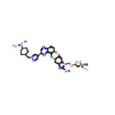 Cc1nc2ccc(Oc3ccc4ncc(-c5cnn(CC6CCC(N(C)C)CC6)c5)nc4c3Cl)cc2n1COCC[Si](C)(C)C